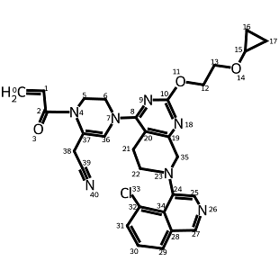 C=CC(=O)N1CCN(c2nc(OCCOC3CC3)nc3c2CCN(c2cncc4cccc(Cl)c24)C3)C=C1CC#N